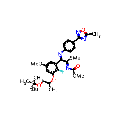 COC(=O)/N=C(SC)/C(=N\c1ccc(-c2noc(C)n2)cc1)c1cc(OC)cc(O[C@@H](C)CO[Si](C)(C)C(C)(C)C)c1F